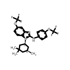 C[C@@H]1C[C@H](n2c(Nc3ccc(OC(F)(F)F)cc3)nc3cc(OC(F)(F)F)ccc32)CC(C)(C)C1